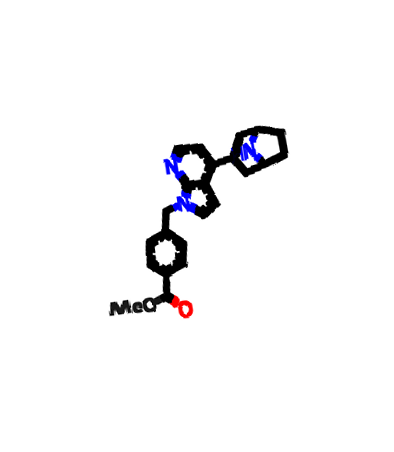 COC(=O)c1ccc(Cn2ccc3c(C4=CC5CCC(C4)N5)ccnc32)cc1